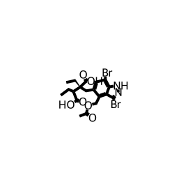 CCC(C(=O)O)[C@@](CC)(Cc1cc(Br)c2[nH]nc(Br)c2c1COC(C)=O)C(=O)O